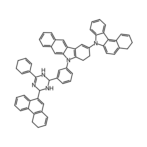 C1=CC(C2=NC(c3cc4c(c5ccccc35)CCC=C4)NC(c3cccc(-n4c5c(c6cc7ccccc7cc64)C=C(n4c6ccccc6c6c7c(ccc64)CCC=C7)CC5)c3)N2)=CCC1